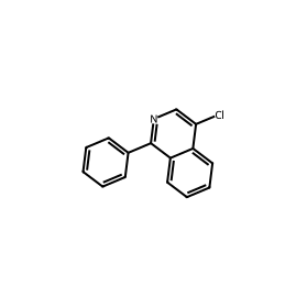 Clc1cnc(-c2ccccc2)c2ccccc12